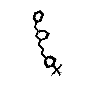 FC(F)(F)c1ccc(CCCC2C=CCN(Cc3ccccc3)C2)cc1